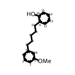 COc1cccc(CCCCCc2ccccc2O)c1